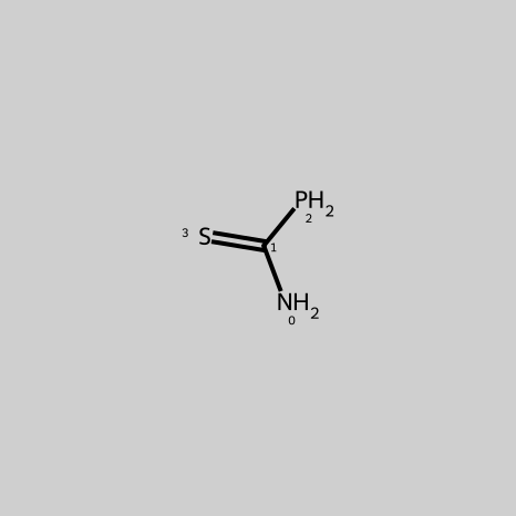 NC(P)=S